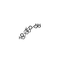 C[C@@H](c1ccc(-c2ccc(=O)[nH]c2)cc1)N1CCC(CC(C)(C)O)(c2ccccc2)OC1=O